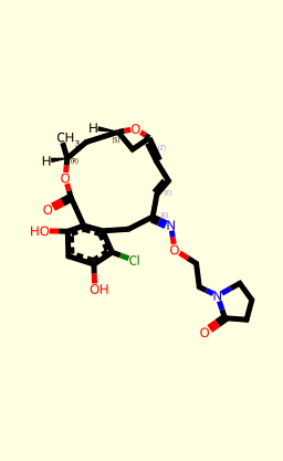 C[C@@H]1C[C@H]2C/C(=C/C=C/C(=N/OCCN3CCCC3=O)Cc3c(Cl)c(O)cc(O)c3C(=O)O1)O2